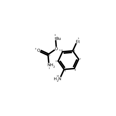 CC(C)(C)OC(N)=O.CCc1ccc(N)cc1